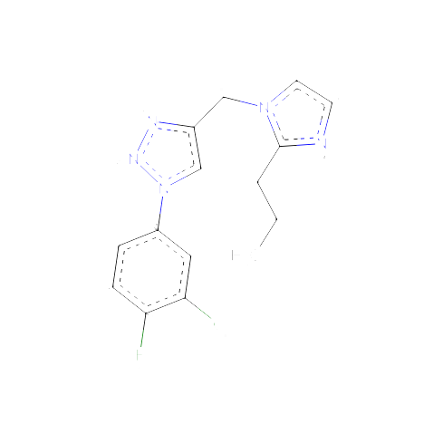 CCCc1nccn1Cc1cn(-c2ccc(F)c(Cl)c2)nn1